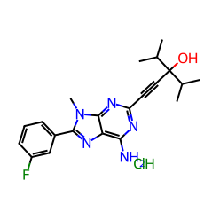 CC(C)C(O)(C#Cc1nc(N)c2nc(-c3cccc(F)c3)n(C)c2n1)C(C)C.Cl